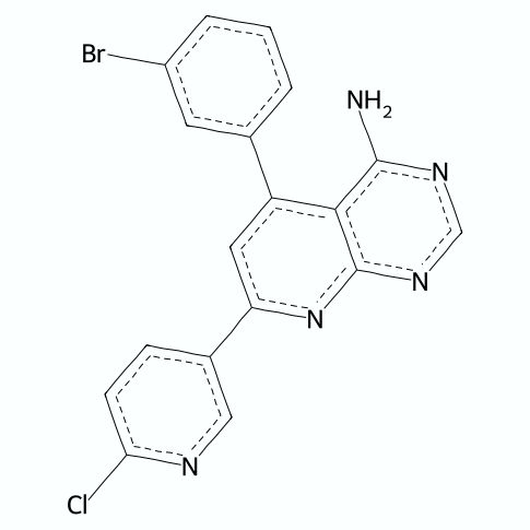 Nc1ncnc2nc(-c3ccc(Cl)nc3)cc(-c3cccc(Br)c3)c12